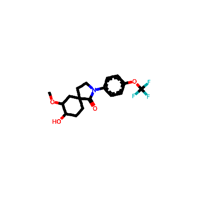 COC1CC2(CCC1O)CCN(c1ccc(OC(F)(F)F)cc1)C2=O